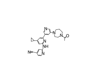 CC(=O)N1CCCN(c2cncc(-c3cc(C4CC4)cc(Nc4cc(C#N)ccn4)n3)c2)CC1